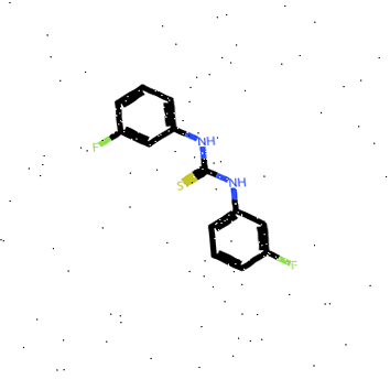 Fc1cccc(NC(=S)Nc2cccc(F)c2)c1